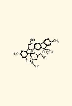 Cc1cc(C)c2c(c1)C1C=C(C(C)(C)C)c3cc4c(cc3N1C21OC(CC(C)C)CC(CC(C)C)O1)C(C)(C)c1cc(C)ccc1-4